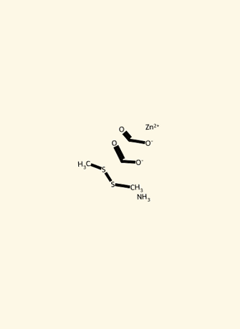 CSSC.N.O=C[O-].O=C[O-].[Zn+2]